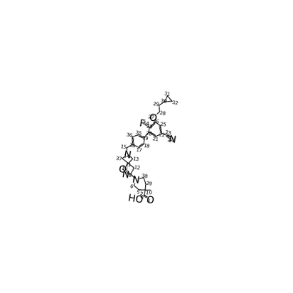 CC1(C(=O)O)CCN(C2=NOC3(C2)CN(Cc2ccc(-c4cc(C#N)cc(OCCC5CC5)c4F)cc2)C3)CC1